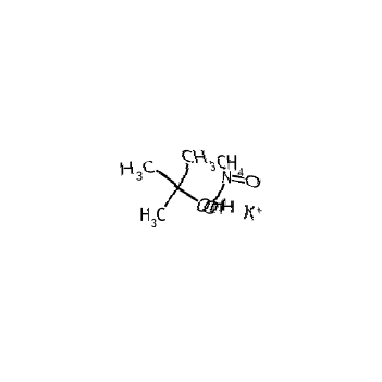 C.CC(C)(C)O.O=NO.[K+]